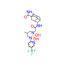 CC1CN(CC(=O)NC2C3CC4CC2CC(C(N)=O)(C4)C3)S(O)(O)N(c2ccc(C(F)(F)F)cn2)C1